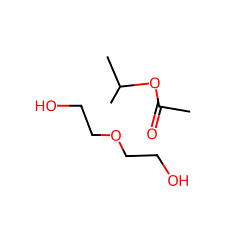 CC(=O)OC(C)C.OCCOCCO